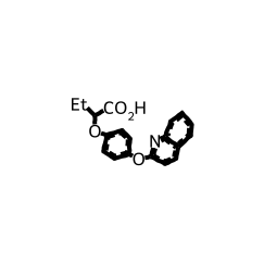 CCC(Oc1ccc(Oc2ccc3ccccc3n2)cc1)C(=O)O